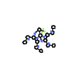 N#Cc1cccc(C(F)(F)F)c1-c1cc(-n2c3ccc(-c4cccc(-c5ccccc5)n4)cc3c3cc(-c4cccc(-c5ccccc5)n4)ccc32)c(C#N)c(-n2c3ccc(-c4cccc(-c5ccccc5)n4)cc3c3cc(-c4cccc(-c5ccccc5)n4)ccc32)c1